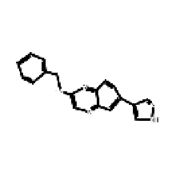 c1ccc(CNc2cnc3cc(-c4cn[nH]c4)ccc3n2)cc1